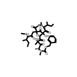 CCC(C)[C@H](NC)C(=O)CC(O)(C(=O)O)C(=O)C(O)(CC(=O)C(C)(O)C(=O)[C@H](C)N(C)C(=O)OCc1ccccc1)C(=O)[C@@H](NC)C(C)CC